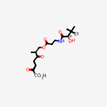 CCC(C)(C)[C@@H](O)C(=O)NCCC(=O)OCC(C)C(=O)CCC(=O)C(=O)O